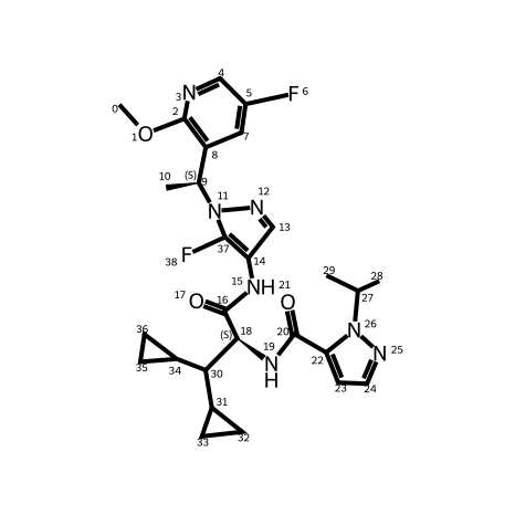 COc1ncc(F)cc1[C@H](C)n1ncc(NC(=O)[C@@H](NC(=O)c2ccnn2C(C)C)C(C2CC2)C2CC2)c1F